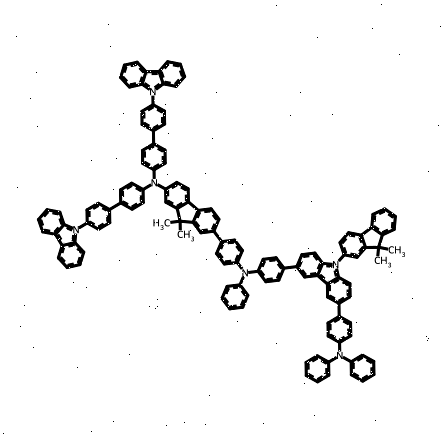 CC1(C)c2cc(-c3ccc(N(c4ccccc4)c4ccc(-c5ccc6c(c5)c5cc(-c7ccc(N(c8ccccc8)c8ccccc8)cc7)ccc5n6-c5ccc6c(c5)C(C)(C)c5ccccc5-6)cc4)cc3)ccc2-c2ccc(N(c3ccc(-c4ccc(-n5c6ccccc6c6ccccc65)cc4)cc3)c3ccc(-c4ccc(-n5c6ccccc6c6ccccc65)cc4)cc3)cc21